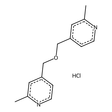 Cc1cc(COCc2ccnc(C)c2)ccn1.Cl